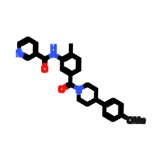 COc1ccc(C2CCN(C(=O)c3ccc(C)c(NC(=O)c4cccnc4)c3)CC2)cc1